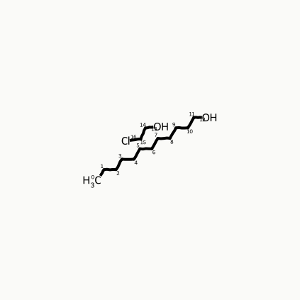 CCCCCCCCCCCCO.OCCCl